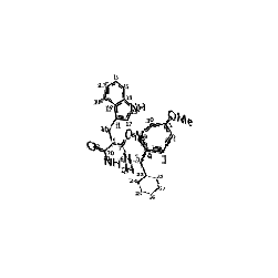 COc1ccc([C@@H](NC(=O)[C](Cc2c[nH]c3ccccc23)C(N)=O)C2CCCCC2)nc1